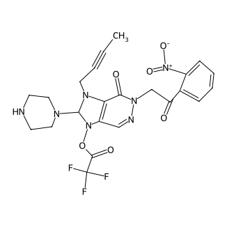 CC#CCN1c2c(cnn(CC(=O)c3ccccc3[N+](=O)[O-])c2=O)N(OC(=O)C(F)(F)F)C1N1CCNCC1